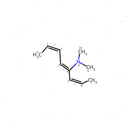 C\C=C/C=C(/C=C\C)N(C)C